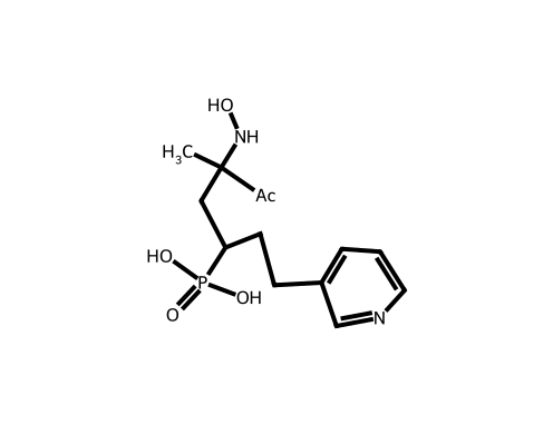 CC(=O)C(C)(CC(CCc1cccnc1)P(=O)(O)O)NO